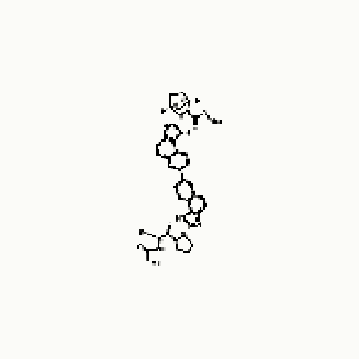 COC(=O)N[C@H](C(=O)N1CCC[C@H]1c1nc2ccc3cc(-c4ccc5c(ccc6nc([C@@H]7[C@H]8CC[C@H](C8)N7C(=O)OC(C)(C)C)[nH]c65)c4)ccc3c2[nH]1)C(C)C